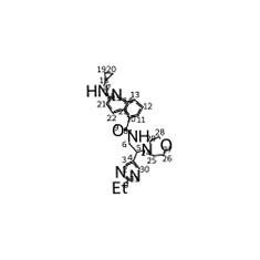 CCc1ncc(C(CNC(=O)c2cccc3nc(NC4CC4)ccc23)N2CCOCC2)cn1